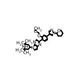 COCOc1cc(-c2cnn(C3CCCCO3)c2)ccc1-c1cnc2c(ccn2C2CC(C)(C)NC(C)(C)C2)n1